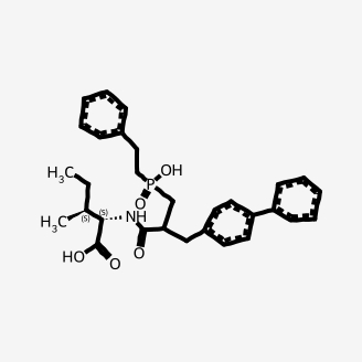 CC[C@H](C)[C@H](NC(=O)C(Cc1ccc(-c2ccccc2)cc1)CP(=O)(O)CCc1ccccc1)C(=O)O